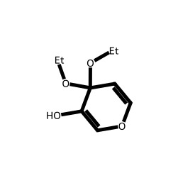 CCOC1(OCC)C=COC=C1O